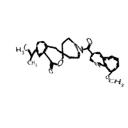 COc1cccc2cc(C(=O)N3CCC4(CC3)Cc3ccc(C(C)C)cc3C(=O)O4)cnc12